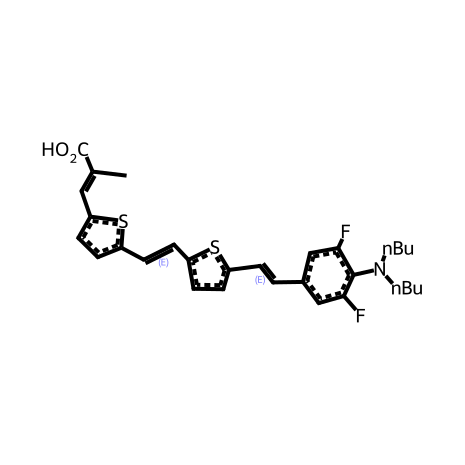 CCCCN(CCCC)c1c(F)cc(/C=C/c2ccc(/C=C/c3ccc(C=C(C)C(=O)O)s3)s2)cc1F